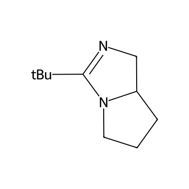 CC(C)(C)C1=NCC2CCCN12